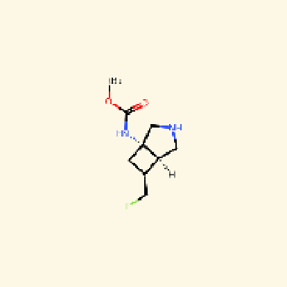 CC(C)(C)OC(=O)N[C@]12CNC[C@H]1[C@@H](CF)C2